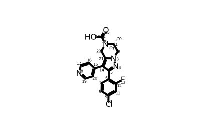 C[C@@H]1Cn2nc(-c3ccc(Cl)cc3F)c(-c3ccncc3)c2CN1C(=O)O